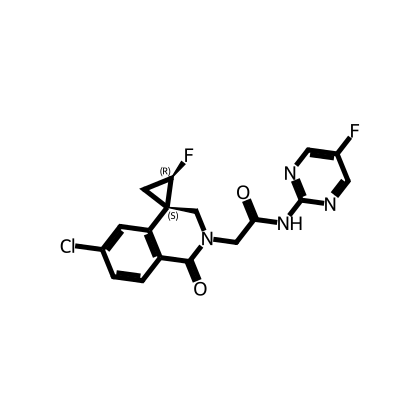 O=C(CN1C[C@]2(C[C@H]2F)c2cc(Cl)ccc2C1=O)Nc1ncc(F)cn1